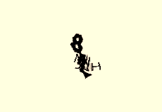 c1ccc2cc(-c3cn4nc(NCC5CC5)sc4n3)ccc2c1